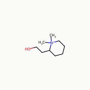 C[N+]1(C)CCCCC1CCO